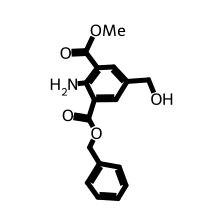 COC(=O)c1cc(CO)cc(C(=O)OCc2ccccc2)c1N